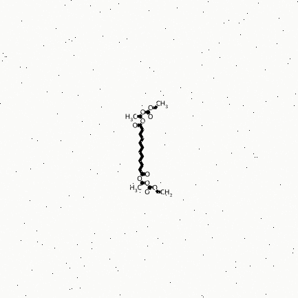 CCOC(=O)OC(C)OC(=O)CCCCCCCCCCC(=O)OC(C)OC(=O)OCC